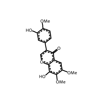 COc1ccc(-c2coc3c(O)c(OC)c(OC)cc3c2=O)cc1O